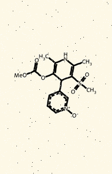 COC(=O)OC1=C(C)NC(C)=C(S(C)(=O)=O)C1c1ccc[n+]([O-])c1